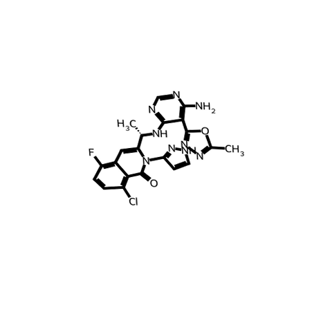 Cc1nnc(-c2c(N)ncnc2N[C@@H](C)c2cc3c(F)ccc(Cl)c3c(=O)n2-c2cc[nH]n2)o1